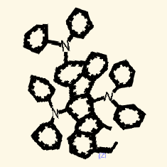 C/C=c1/cccc2c1c(C)c1c(N(c3ccccc3)c3ccccc3)c3c4cccc5c(N(c6ccccc6)c6ccccc6)ccc(c3c(N(c3ccccc3)c3ccccc3)c12)c54